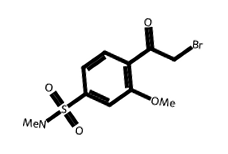 CNS(=O)(=O)c1ccc(C(=O)CBr)c(OC)c1